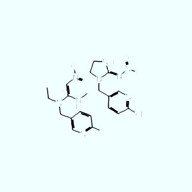 CCN(Cc1ccc(Cl)nc1)/C(=C/[N+](=O)[O-])NC.O=[N+]([O-])/N=C1\NCCN1Cc1ccc(Cl)nc1